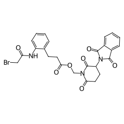 O=C(CBr)Nc1ccccc1CCC(=O)OCN1C(=O)CCC(N2C(=O)c3ccccc3C2=O)C1=O